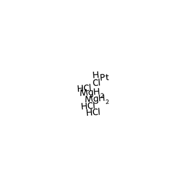 Cl.Cl.Cl.Cl.[MgH2].[MgH2].[Pt]